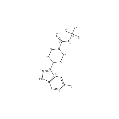 Cc1ccc2[nH]nc(C3CCN(C(=O)OC(C)(C)C)CC3)c2c1